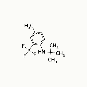 Cc1ccc(NC(C)(C)C)c(C(F)(F)F)c1